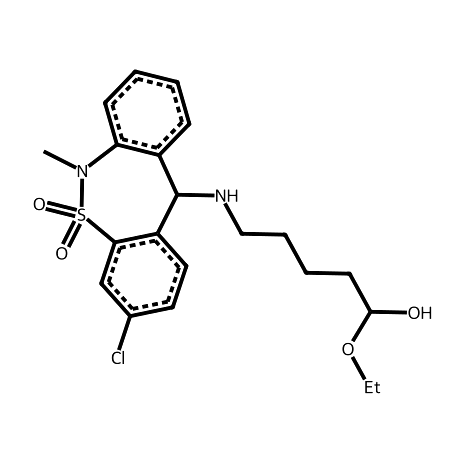 CCOC(O)CCCCNC1c2ccccc2N(C)S(=O)(=O)c2cc(Cl)ccc21